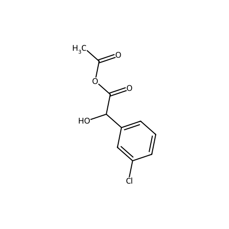 CC(=O)OC(=O)C(O)c1cccc(Cl)c1